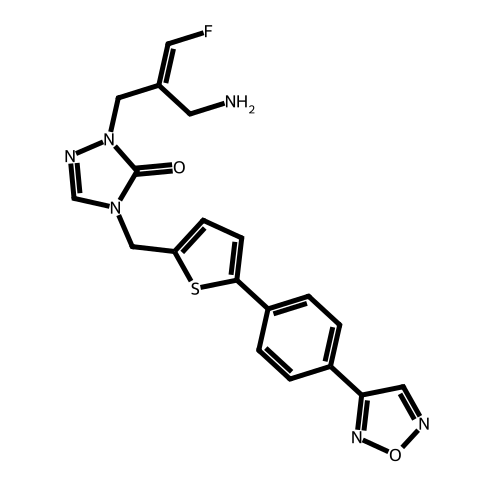 NC/C(=C\F)Cn1ncn(Cc2ccc(-c3ccc(-c4cnon4)cc3)s2)c1=O